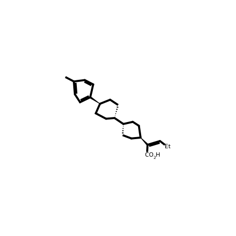 CCC=C(C(=O)O)[C@H]1CC[C@H]([C@H]2CC[C@H](c3ccc(C)cc3)CC2)CC1